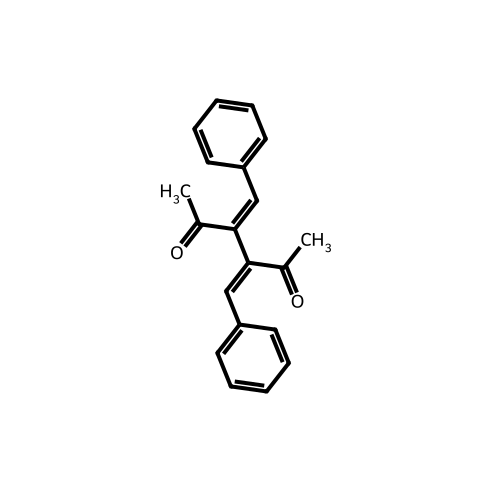 CC(=O)C(=Cc1ccccc1)C(=Cc1ccccc1)C(C)=O